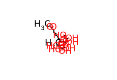 CCOC(=O)/C=C/CCCCCCC(C)OC1OC(CO)C(O)C(O)C1OC1OC(CO)C(O)C(O)C1O